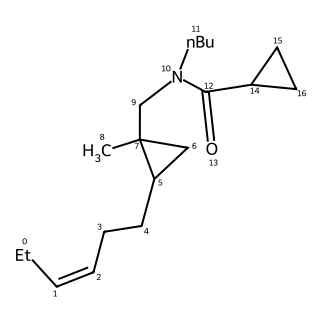 CC/C=C\CCC1CC1(C)CN(CCCC)C(=O)C1CC1